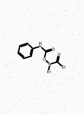 CCC(=O)N(CC)OC(=O)Nc1ccccc1